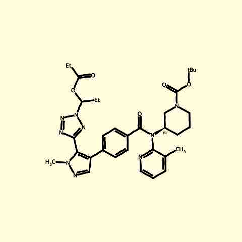 CCC(=O)OC(CC)n1nnc(-c2c(-c3ccc(C(=O)N(c4ncccc4C)[C@@H]4CCCN(C(=O)OC(C)(C)C)C4)cc3)cnn2C)n1